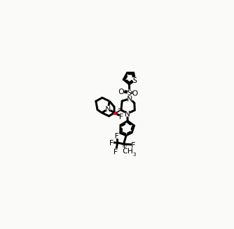 C[C@@](F)(c1ccc(N2CCN(S(=O)(=O)c3cccs3)C[C@@H]2CN2C3CCCC2CC(F)C3)cc1)C(F)(F)F